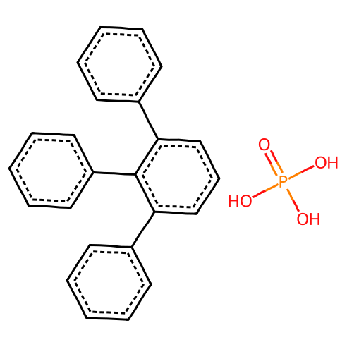 O=P(O)(O)O.c1ccc(-c2cccc(-c3ccccc3)c2-c2ccccc2)cc1